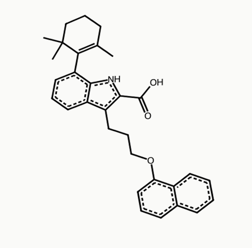 CC1=C(c2cccc3c(CCCOc4cccc5ccccc45)c(C(=O)O)[nH]c23)C(C)(C)CCC1